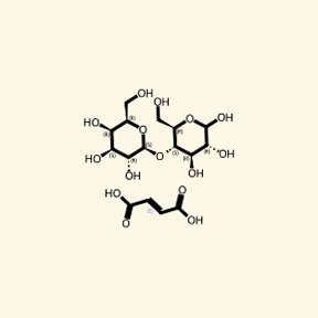 O=C(O)/C=C/C(=O)O.OC[C@H]1O[C@@H](O[C@H]2[C@H](O)[C@@H](O)C(O)O[C@@H]2CO)[C@H](O)[C@@H](O)[C@H]1O